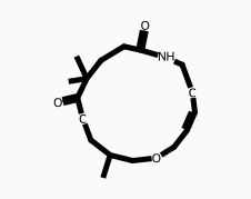 CC1CCC(=O)C(C)(C)CCC(=O)NCCC=CCOC1